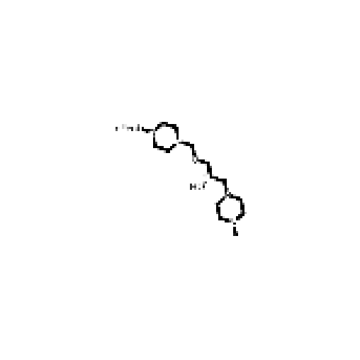 CCCCCN1CCN(COC[C@@H](O)CN2CCN(C)CC2)CC1